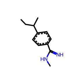 CCC(C)c1ccc(C(=N)NC)cc1